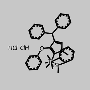 CC1C=C(C(c2ccccc2)c2ccccc2)C(Oc2ccccc2)=[C]1[Ti]([CH3])([CH3])([CH3])([CH3])([c]1ccccc1)[SiH](C)C.Cl.Cl